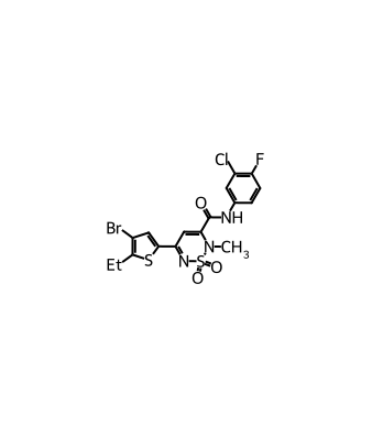 CCc1sc(C2=NS(=O)(=O)N(C)C(C(=O)Nc3ccc(F)c(Cl)c3)=C2)cc1Br